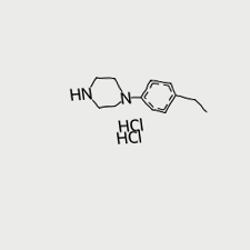 CCc1ccc(N2CCNCC2)cc1.Cl.Cl